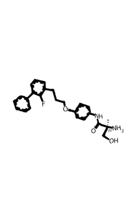 C[C@](N)(CO)C(=O)Nc1ccc(OCCCc2cccc(-c3ccccc3)c2F)cc1